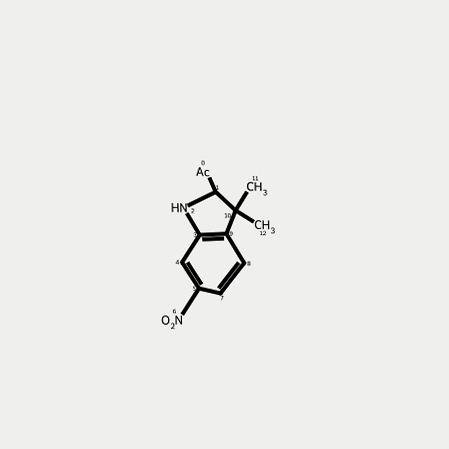 CC(=O)C1Nc2cc([N+](=O)[O-])ccc2C1(C)C